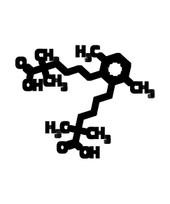 Cc1ccc(C)c(CCCCC(C)(C)C(=O)O)c1CCCCC(C)(C)C(=O)O